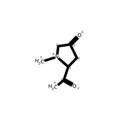 CC(=O)C1CC(=O)CN1C